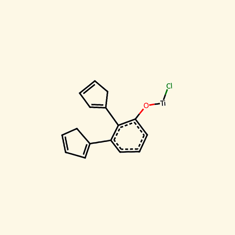 [Cl][Ti][O]c1cccc(C2=CC=CC2)c1C1=CC=CC1